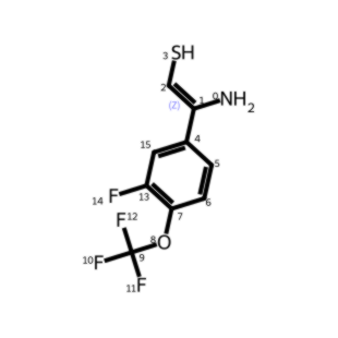 N/C(=C\S)c1ccc(OC(F)(F)F)c(F)c1